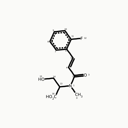 CN(C(=O)C=Cc1ccccc1F)C(CO)C(=O)O